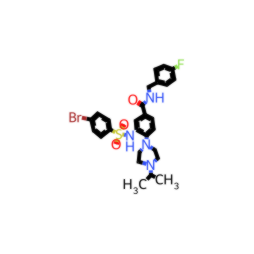 CC(C)N1CCN(c2ccc(C(=O)NCc3ccc(F)cc3)cc2NS(=O)(=O)c2ccc(Br)cc2)CC1